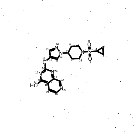 O=S(=O)(C1CC1)N1CCC(n2cc(Oc3nc(O)c4ccncc4n3)cn2)CC1